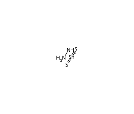 NN.[S]=[Sn]=[S]